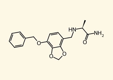 C[C@H](NCc1ccc(OCc2ccccc2)c2c1OCO2)C(N)=O